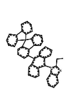 CCc1nc2ccccc2n1-c1c2ccccc2c(-c2cccc3c2-c2ccccc2C32c3ccccc3-c3ccccc32)c2ccccc12